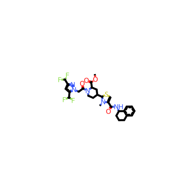 COC(=O)C1CC(C2SC=C(C(=O)NC3CCCc4ccccc43)N2C)CCN1C(=O)Cn1nc(C(F)F)cc1C(F)F